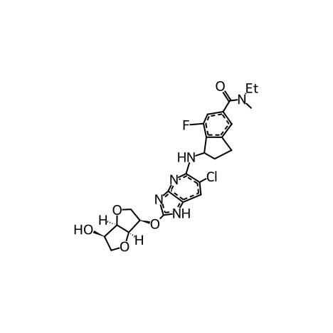 CCN(C)C(=O)c1cc(F)c2c(c1)CCC2Nc1nc2nc(O[C@@H]3CO[C@H]4[C@@H]3OC[C@H]4O)[nH]c2cc1Cl